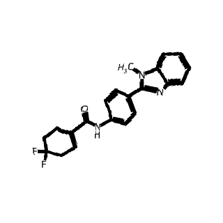 Cn1c(-c2ccc(NC(=O)C3CCC(F)(F)CC3)cc2)nc2ccccc21